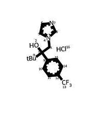 CC(C)(C)C(O)(Cn1ccnc1)c1ccc(C(F)(F)F)cc1.Cl